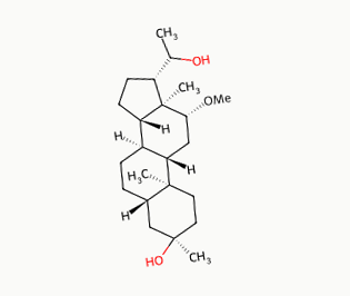 CO[C@@H]1C[C@H]2[C@@H](CC[C@H]3C[C@](C)(O)CC[C@@]32C)[C@@H]2CC[C@H](C(C)O)[C@@]12C